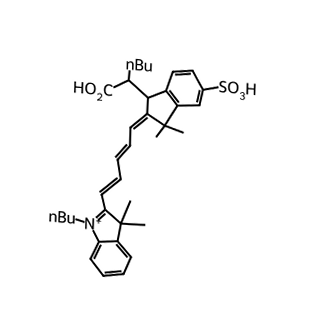 CCCCC(C(=O)O)C1/C(=C/C=C/C=C/C2=[N+](CCCC)c3ccccc3C2(C)C)C(C)(C)c2cc(S(=O)(=O)O)ccc21